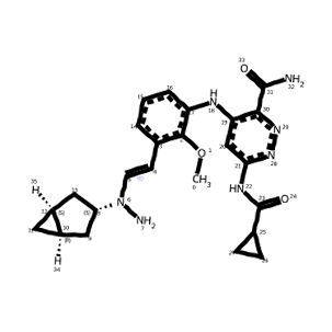 COc1c(/C=C/N(N)[C@@H]2C[C@H]3C[C@H]3C2)cccc1Nc1cc(NC(=O)C2CC2)nnc1C(N)=O